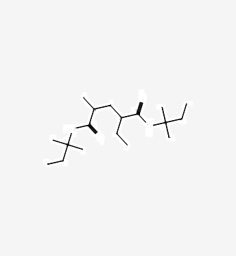 CCC(CC(C)C(=O)NC(C)(C)CC)C(=O)NC(C)(C)CC